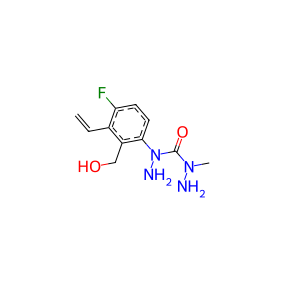 C=Cc1c(F)ccc(N(N)C(=O)N(C)N)c1CO